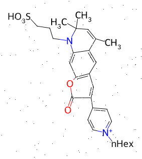 CCCCCC[n+]1ccc(-c2cc3cc4c(cc3oc2=O)N(CCCS(=O)(=O)O)C(C)(C)C=C4C)cc1